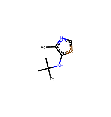 CCC(C)(C)Nc1scnc1C(C)=O